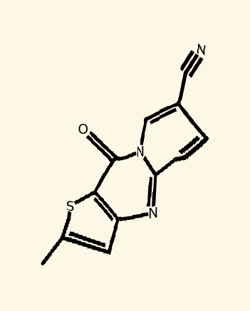 Cc1cc2nc3ccc(C#N)cn3c(=O)c2s1